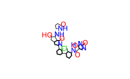 COc1nc(-c2cccc(-c3cccc(NC(=O)c4cn(C)c(=O)n(C)c4=O)c3C)c2Cl)cc2c1[C@H](NC[C@@H]1CCC(=O)N1)[C@H](O)C2